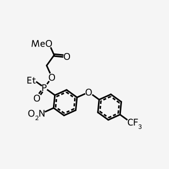 CCP(=O)(OCC(=O)OC)c1cc(Oc2ccc(C(F)(F)F)cc2)ccc1[N+](=O)[O-]